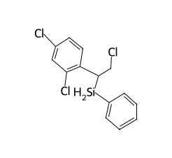 ClCC([SiH2]c1ccccc1)c1ccc(Cl)cc1Cl